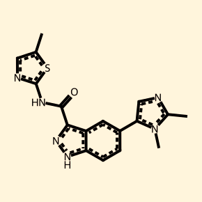 Cc1cnc(NC(=O)c2n[nH]c3ccc(-c4cnc(C)n4C)cc23)s1